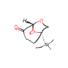 C[Si](C)(C)[C@@]12CCC(=O)[C@H](OC1)O2